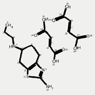 CCCNC1CCc2nc(N)sc2C1.O=C(O)/C=C/C(=O)O.O=C(O)/C=C/C(=O)O